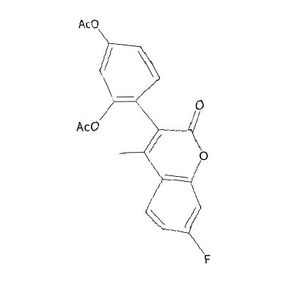 CC(=O)Oc1ccc(-c2c(C)c3ccc(F)cc3oc2=O)c(OC(C)=O)c1